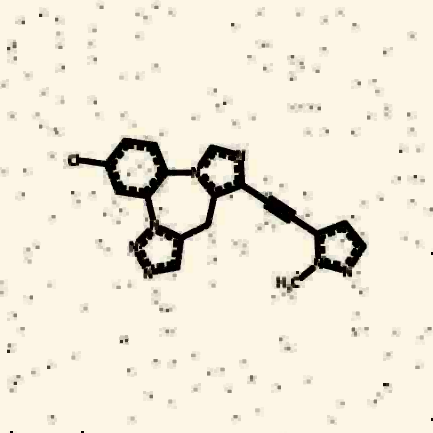 Cn1nccc1C#Cc1ncn2c1Cc1cnnn1-c1cc(Cl)ccc1-2